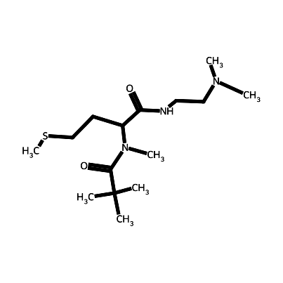 CSCCC(C(=O)NCCN(C)C)N(C)C(=O)C(C)(C)C